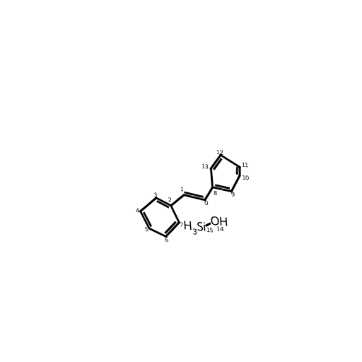 C(=Cc1ccccc1)c1ccccc1.O[SiH3]